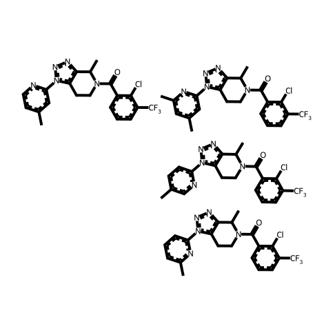 Cc1cc(C)nc(-n2nnc3c2CCN(C(=O)c2cccc(C(F)(F)F)c2Cl)C3C)c1.Cc1ccc(-n2nnc3c2CCN(C(=O)c2cccc(C(F)(F)F)c2Cl)C3C)nc1.Cc1cccc(-n2nnc3c2CCN(C(=O)c2cccc(C(F)(F)F)c2Cl)C3C)n1.Cc1ccnc(-n2nnc3c2CCN(C(=O)c2cccc(C(F)(F)F)c2Cl)C3C)c1